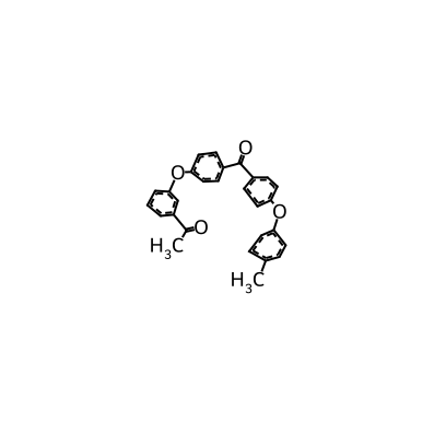 CC(=O)c1cccc(Oc2ccc(C(=O)c3ccc(Oc4ccc(C)cc4)cc3)cc2)c1